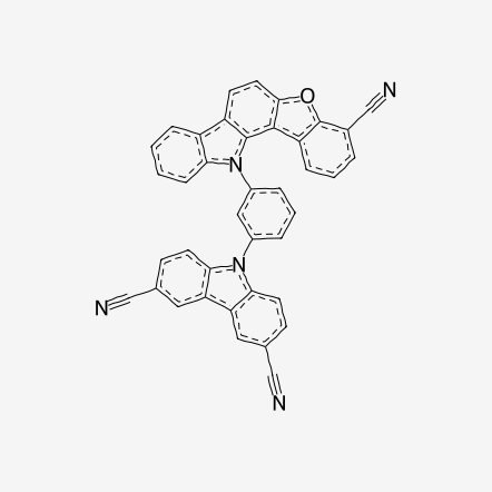 N#Cc1ccc2c(c1)c1cc(C#N)ccc1n2-c1cccc(-n2c3ccccc3c3ccc4oc5c(C#N)cccc5c4c32)c1